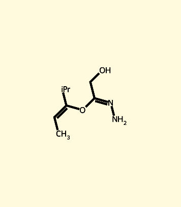 C/C=C(\O/C(CO)=N\N)C(C)C